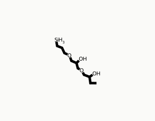 CCC(O)COCC(O)COCCC[SiH3]